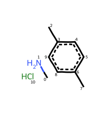 CN.Cc1ccc(C)cc1.Cl